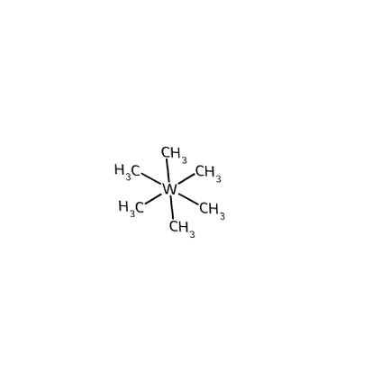 [CH3][W]([CH3])([CH3])([CH3])([CH3])[CH3]